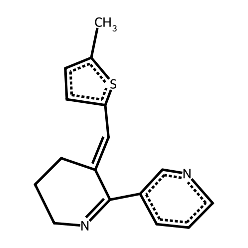 Cc1ccc(/C=C2\CCCN=C2c2cccnc2)s1